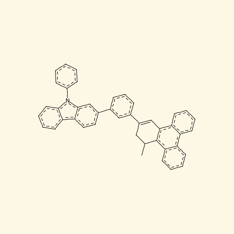 CC1CC(c2cccc(-c3ccc4c5ccccc5n(-c5ccccc5)c4c3)c2)=Cc2c1c1ccccc1c1ccccc21